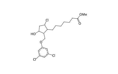 COC(=O)CCCCCCC1C(Cl)CC(O)C1COc1cc(Cl)cc(Cl)c1